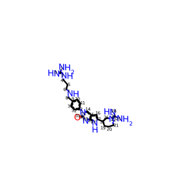 N=C(N)NCCCNCc1ccc(-n2cc3cc(C4CCCN(C(=N)N)C4)[nH]c3nc2=O)cc1